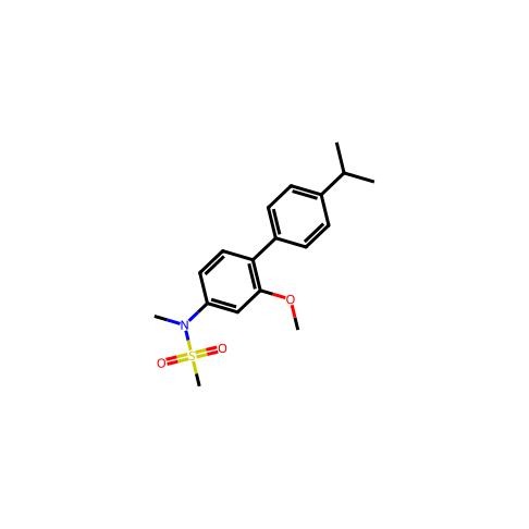 COc1cc(N(C)S(C)(=O)=O)ccc1-c1ccc(C(C)C)cc1